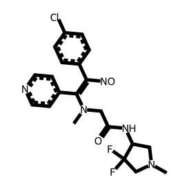 CN1CC(NC(=O)CN(C)/C(=C(\N=O)c2ccc(Cl)cc2)c2ccncc2)C(F)(F)C1